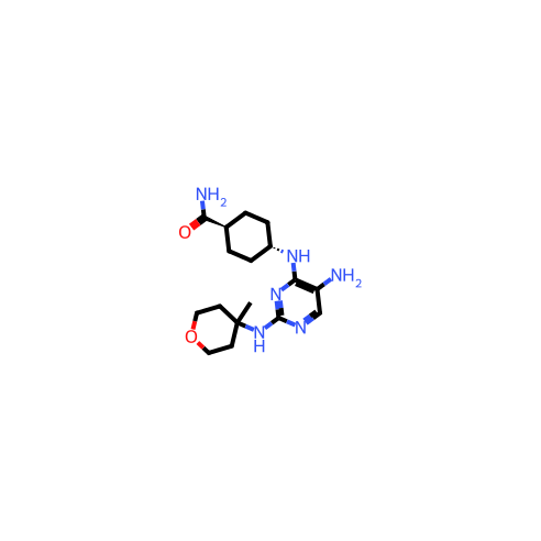 CC1(Nc2ncc(N)c(N[C@H]3CC[C@H](C(N)=O)CC3)n2)CCOCC1